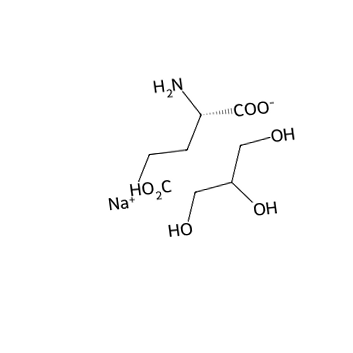 N[C@@H](CCC(=O)O)C(=O)[O-].OCC(O)CO.[Na+]